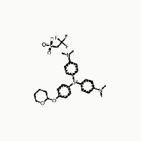 CN(C)c1ccc([S+](c2ccc(OC3CCCCO3)cc2)c2ccc(N(C)C)cc2)cc1.O=S(=O)([O-])CC(F)(F)F